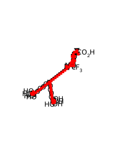 C[C@H](C(=O)O)[C@H](c1ccc2c(c1)O[C@H](C1CCN(Cc3ccc(-c4cn(CCCCCCCCCCCCCCCCCCN(CCOCCOCCOCCOCCN5C[C@H](O)[C@@H](O)[C@H](O)[C@H]5CO)CCOCCOCCOCCOCCN5C[C@H](O)[C@@H](O)[C@H](O)[C@H]5CO)nn4)cc3OC(F)(F)F)CC1)CC2)C1CC1